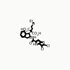 CCOCCC(C(=O)O)(C(=O)O)[C@@H]1c2ccccc2C[C@H]1NC(=O)c1cc2sc(Cl)c(Cl)c2[nH]1